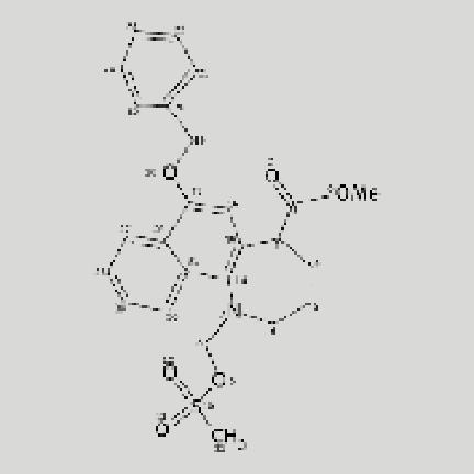 COC(=O)C1CCCN(COS(C)(=O)=O)c2c1cc(OCc1ccccc1)c1ccccc21